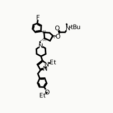 CCOc1ccc(Cc2cc(C3CCN(C[C@H]4C[C@H](OC(=O)CN(C)C(C)(C)C)C[C@@H]4c4cccc(F)c4)CC3)n(CC)n2)cc1